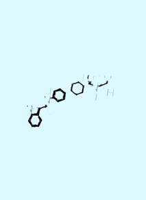 CC(C)(CO)NC(=O)[C@H]1CC[C@H](c2ccc(NC(=O)c3onc4ccccc34)cc2)CC1